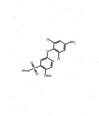 CNS(=O)(=O)c1cc(Oc2c(Cl)cc(N)cc2Cl)ncc1OC